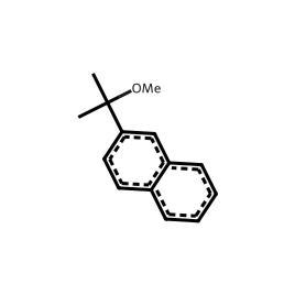 COC(C)(C)c1ccc2ccccc2c1